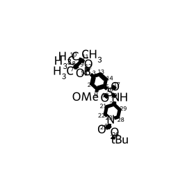 COc1cc(B2OC(C)(C)C(C)(C)O2)ccc1S(=O)(=O)NC1CCN(C(=O)OC(C)(C)C)CC1